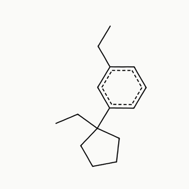 CCc1cccc(C2(CC)CCCC2)c1